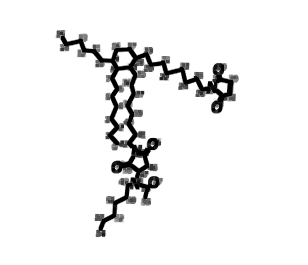 CCCCCCCCC1C(CCCCCC)CCC(CCCCCCCCN2C(=O)C=CC2=O)C1CCCCCCCCN1C(=O)CC(N(CCCCCC)C(C)=O)C1=O